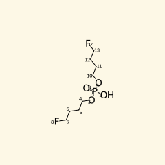 O=P(O)(OCCCCF)OCCCCF